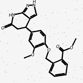 COC(=O)c1ccccc1COc1ccc(C2CC(=O)Nc3n[nH]cc32)cc1OC